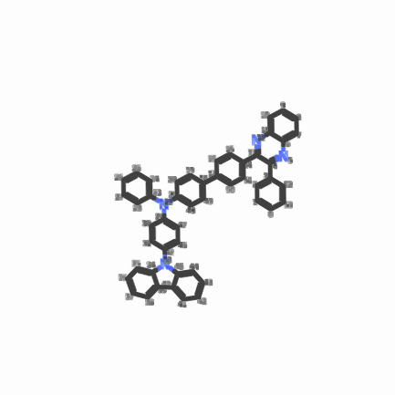 c1ccc(-c2nc3ccccc3nc2-c2ccc(-c3ccc(N(c4ccccc4)c4ccc(-n5c6ccccc6c6ccccc65)cc4)cc3)cc2)cc1